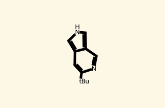 CC(C)(C)c1cc2c[nH]cc2cn1